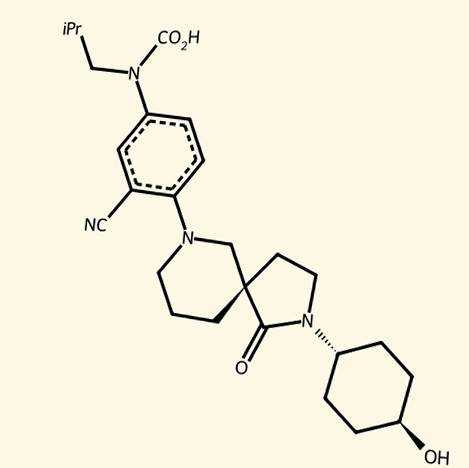 CC(C)CN(C(=O)O)c1ccc(N2CCC[C@]3(CCN([C@H]4CC[C@H](O)CC4)C3=O)C2)c(C#N)c1